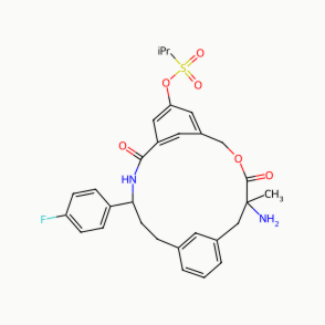 CC(C)S(=O)(=O)Oc1cc2cc(c1)C(=O)NC(c1ccc(F)cc1)CCc1cccc(c1)CC(C)(N)C(=O)OC2